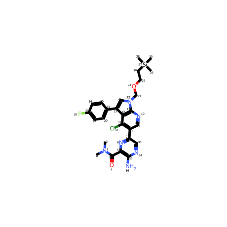 CN(C)C(=O)c1nc(-c2cnc3c(c(-c4ccc(F)cc4)cn3COCC[Si](C)(C)C)c2Cl)cnc1N